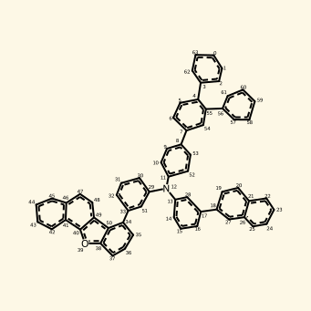 c1ccc(-c2ccc(-c3ccc(N(c4cccc(-c5ccc6ccccc6c5)c4)c4cccc(-c5cccc6oc7c8ccccc8ccc7c56)c4)cc3)cc2-c2ccccc2)cc1